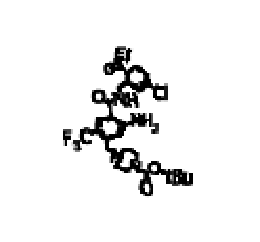 CC[S+]([O-])c1ccc(Cl)cc1CNC(=O)c1cc(C(F)(F)F)c(CN2CCN(C(=O)OC(C)(C)C)CC2)cc1N